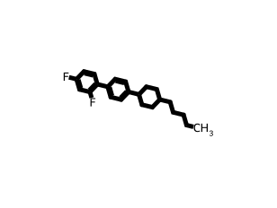 CCCCCC1CCC(c2ccc(-c3ccc(F)cc3F)cc2)CC1